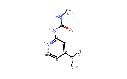 CNC(=O)Nc1cc(C(C)C)ccn1